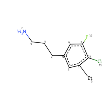 CCc1cc(CCCN)cc(F)c1Cl